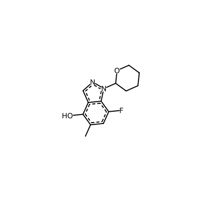 Cc1cc(F)c2c(cnn2C2CCCCO2)c1O